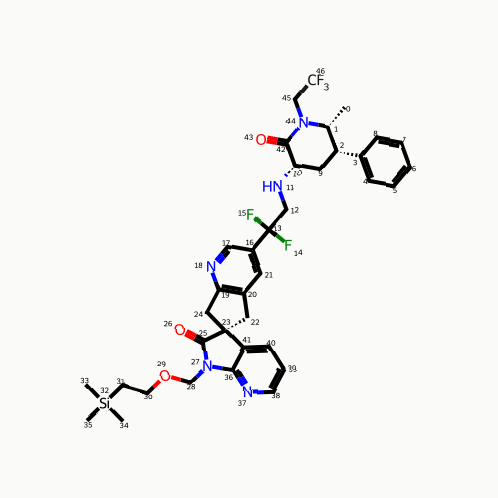 C[C@@H]1[C@H](c2ccccc2)C[C@H](NCC(F)(F)c2cnc3c(c2)C[C@@]2(C3)C(=O)N(COCC[Si](C)(C)C)c3ncccc32)C(=O)N1CC(F)(F)F